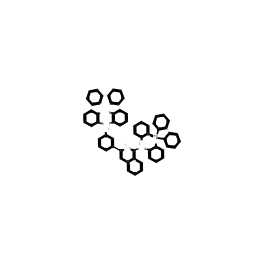 c1ccc([Si]2(c3ccccc3)c3ccccc3N(c3cccc(-c4cc5ccccc5c(N5c6ccccc6[Si](c6ccccc6)(c6ccccc6)c6ccccc65)n4)c3)c3ccccc32)cc1